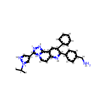 CC(C)n1cc(-c2nnc3c4cc(-c5ccccc5)c(-c5ccc(CN)cc5)nc4ccn23)cn1